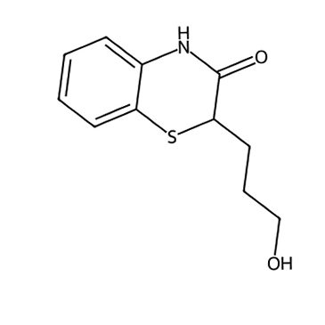 O=C1Nc2ccccc2SC1CCCO